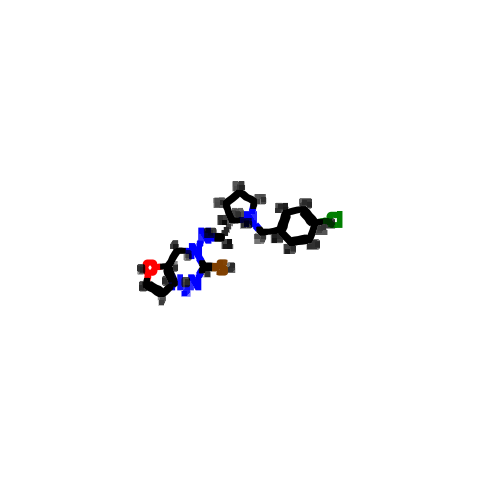 NC(=S)N(Cc1ccco1)N=C[C@@H]1CCCN1Cc1ccc(Cl)cc1